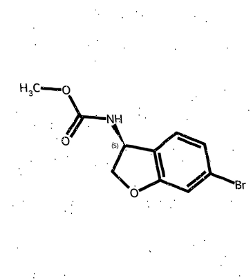 COC(=O)N[C@@H]1COc2cc(Br)ccc21